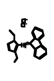 CCC1=[C]([Hf+2][CH]2c3ccccc3-c3ccccc32)C(CC)C=C1.[Cl-].[Cl-]